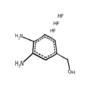 F.F.F.Nc1ccc(CO)cc1N